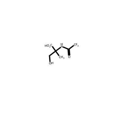 CC(CO)(NC(=O)C(F)(F)F)C(=O)O